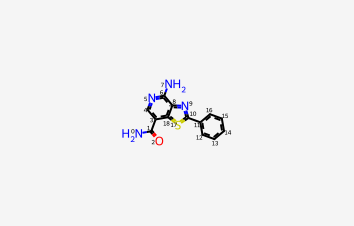 NC(=O)c1cnc(N)c2nc(-c3ccccc3)sc12